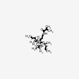 C=C(C)C(=O)NCCC[Si](O[Si](C)(C)C)(O[Si](C)(C)CCC)O[Si](C)(C)CCC